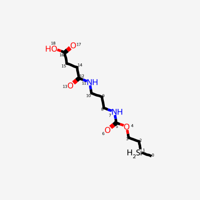 C[SiH2]CCOC(=O)NCCCNC(=O)CCC(=O)O